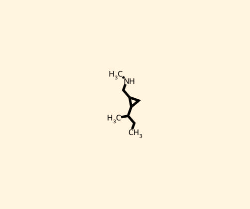 CCC(C)C1CC1CNC